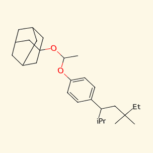 CCC(C)(C)CC(c1ccc(OC(C)OC23CC4CC(CC(C4)C2)C3)cc1)C(C)C